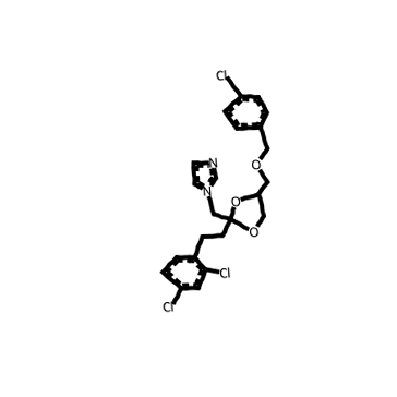 Clc1ccc(COCC2COC(CCc3ccc(Cl)cc3Cl)(Cn3ccnc3)O2)cc1